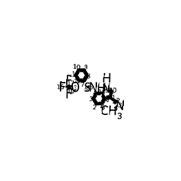 Cc1ccc(NSc2ccccc2OC(F)(F)F)c2[nH]cc(C#N)c12